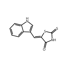 O=C1NC(=S)SC1=Cc1c[nH]c2ccccc12